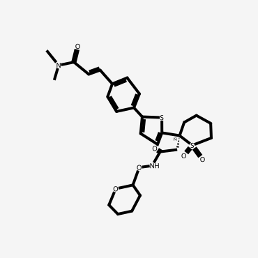 CN(C)C(=O)C=Cc1ccc(-c2ccc([C@@]3(CC(=O)NOC4CCCCO4)CCCCS3(=O)=O)s2)cc1